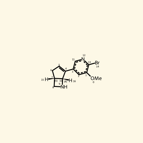 COc1cc(C2=CC[C@H]3CN[C@@H]23)cnc1Br